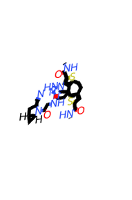 CNC(=O)c1cc2c(s1)CCc1cc(C(=O)NC)sc1C2(C[C@H](C)NCC(=O)N1C(C#N)C[C@@H]2C[C@@H]21)c1nn[nH]n1